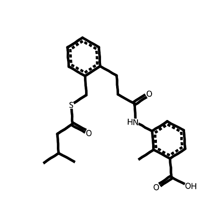 Cc1c(NC(=O)CCc2ccccc2CSC(=O)CC(C)C)cccc1C(=O)O